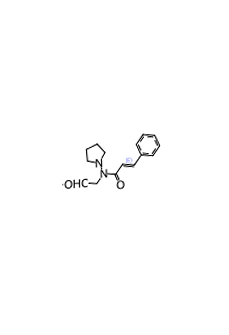 O=[C]CN(C(=O)/C=C/c1ccccc1)N1CCCC1